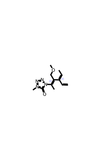 C=CC(=C/C)/C(COC)=C(\C)n1nnn(C)c1=O